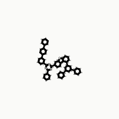 c1ccc(-c2ccc(-c3cccc(-c4nc(-c5ccccc5)nc(-c5ccc6c(c5)oc5cccc(-c7cc(-c8ccccc8)cc(-c8ccccc8)c7)c56)n4)c3)cc2)cc1